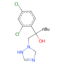 CCCCC(O)(CN1CN=CN1)c1ccc(Cl)cc1Cl